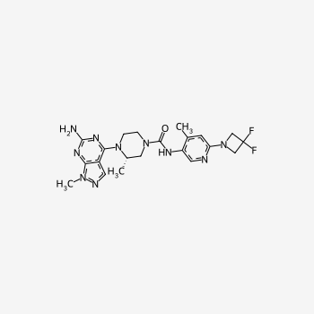 Cc1cc(N2CC(F)(F)C2)ncc1NC(=O)N1CCN(c2nc(N)nc3c2cnn3C)[C@@H](C)C1